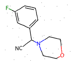 N#CC(c1cccc(F)c1)N1CCOCC1